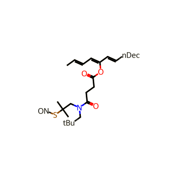 C/C=C/C=C(/C=C/CCCCCCCCCC)OC(=O)CCC(=O)N(CC(C)(C)C)CC(C)(C)SN=O